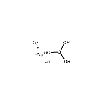 OB(O)O.[Ce].[LiH].[NaH].[Y]